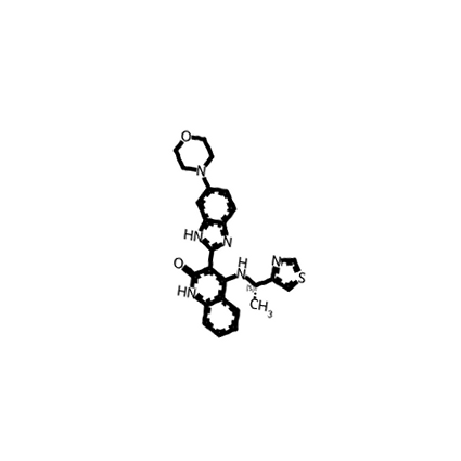 C[C@H](Nc1c(-c2nc3ccc(N4CCOCC4)cc3[nH]2)c(=O)[nH]c2ccccc12)c1cscn1